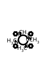 CN(c1ccccc1)C1CCCC(N(C)c2ccccc2)CCN(N(C)c2ccccc2)CCCC(N(C)c2ccccc2)CC1